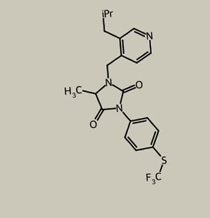 CC(C)Cc1cnccc1CN1C(=O)N(c2ccc(SC(F)(F)F)cc2)C(=O)C1C